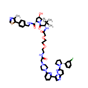 Cc1ncsc1-c1ccc(CNC(=O)[C@@H]2C[C@@H](O)CN2C(=O)[C@@H](NC(=O)COCCOCCNC(=O)CN2CCN(c3cccc(-c4cnc5ccc(N6CCC[C@@H]6c6cccc(F)c6)nn45)n3)CC2)C(C)(C)C)cc1